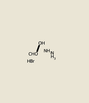 Br.N.N.O=CO